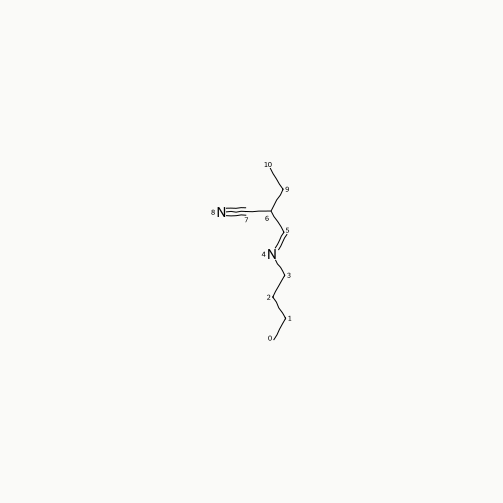 CCCC/N=C/C(C#N)CC